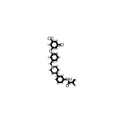 C=C(C)C(=O)Nc1cccc(C2CCN(Cc3cccc(Oc4cc(Cl)cc(Cl)c4)c3)CC2)c1